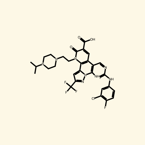 C=C(/N=C\c1c(N)n2nc(C(F)(F)F)cc2c2c1cc(C(=O)O)c(=O)n2CCN1CCN(C(C)C)CC1)Nc1ccc(F)c(Cl)c1